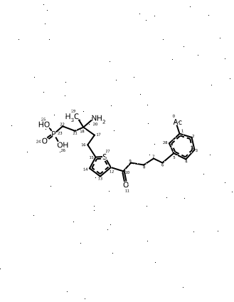 CC(=O)c1cccc(CCCCC(=O)c2ccc(CCC(C)(N)CCP(=O)(O)O)s2)c1